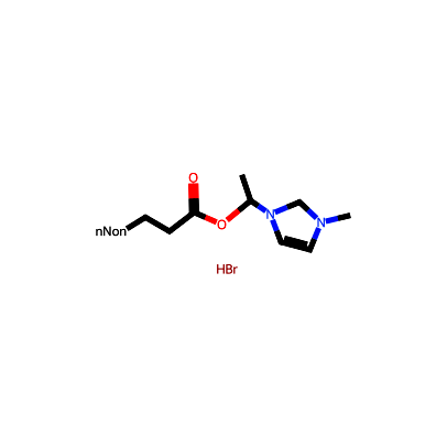 Br.CCCCCCCCCCCC(=O)OC(C)N1C=CN(C)C1